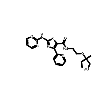 CCC(C)(CO)OCCNC(=O)c1sc(Nc2ncccn2)nc1-c1ccccn1